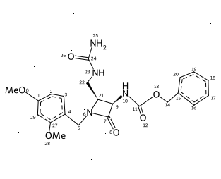 COc1ccc(CN2C(=O)[C@H](NC(=O)OCc3ccccc3)[C@@H]2CNC(N)=O)c(OC)c1